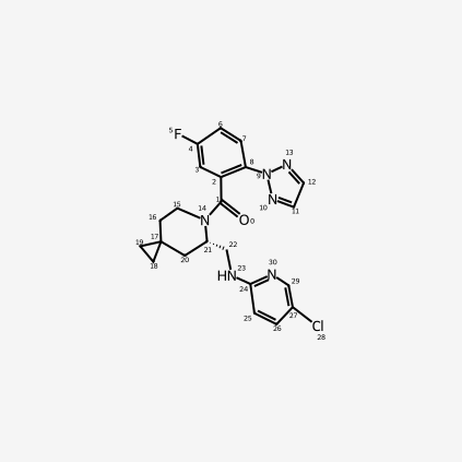 O=C(c1cc(F)ccc1-n1nccn1)N1CCC2(CC2)C[C@H]1CNc1ccc(Cl)cn1